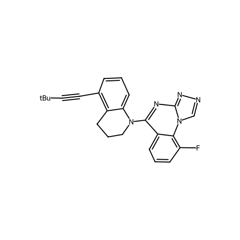 CC(C)(C)C#Cc1cccc2c1CCCN2c1nc2nncn2c2c(F)cccc12